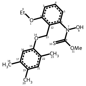 CCOc1cccc(N(O)C(=S)OC)c1COc1cc(C)c(C)cc1C